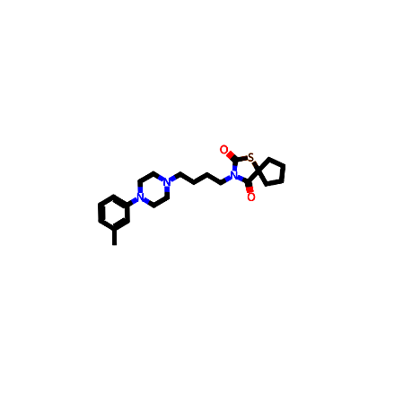 Cc1cccc(N2CCN(CCCCN3C(=O)SC4(CCCC4)C3=O)CC2)c1